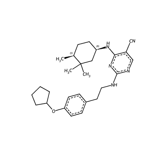 C[C@H]1CC[C@@H](Nc2nc(NCCc3ccc(OC4CCCC4)cc3)ncc2C#N)CC1(C)C